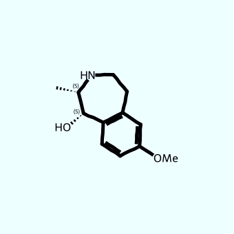 COc1ccc2c(c1)CCN[C@@H](C)[C@H]2O